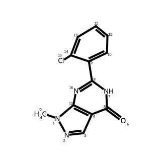 Cn1ncc2c(=O)[nH]c(-c3ccccc3Cl)nc21